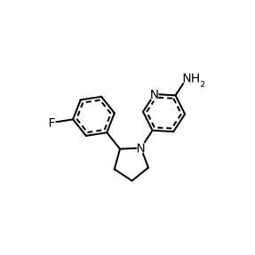 Nc1ccc(N2CCCC2c2cccc(F)c2)cn1